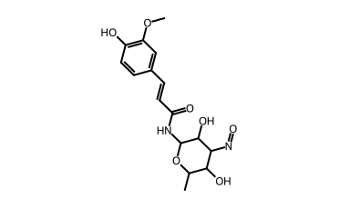 COc1cc(/C=C/C(=O)NC2OC(C)C(O)C(N=O)C2O)ccc1O